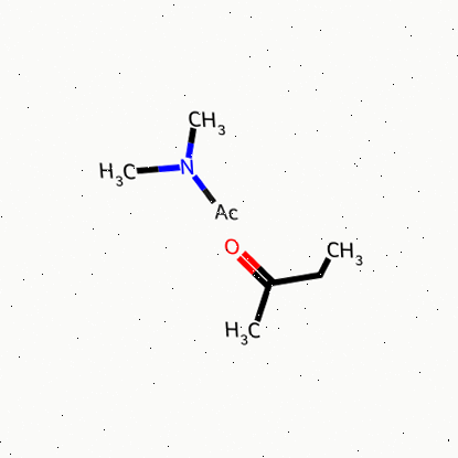 CC(=O)N(C)C.CCC(C)=O